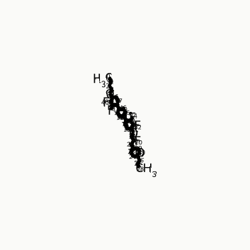 CCCCOc1ccc(-c2ccc(-c3ccc(OCC(F)CC4CCC(CCC)OC4)c(F)c3F)cc2)c(F)c1F